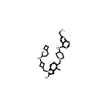 CCCC(CCC1CCC1)NC1CC(Cn2c(C#N)cc3c(C)c(CN4CCC(Nc5ncnc6sc(CC(F)(F)F)cc56)CC4)ccc32)C1